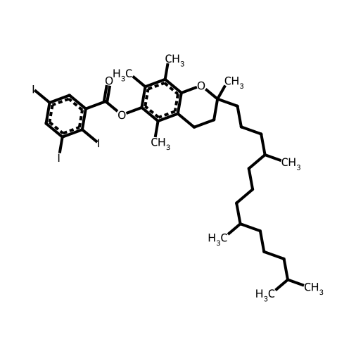 Cc1c(C)c2c(c(C)c1OC(=O)c1cc(I)cc(I)c1I)CCC(C)(CCCC(C)CCCC(C)CCCC(C)C)O2